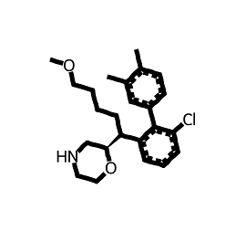 COCCCCC(c1cccc(Cl)c1-c1ccc(C)c(C)c1)[C@@H]1CNCCO1